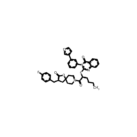 CCCCC(Sc1nc2ccccc2c(=O)n1-c1cccc(-c2ccoc2)c1)C(=O)N1CCC2(CC1)CC(Cc1ccc(F)cc1)C(=O)O2